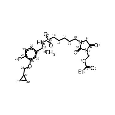 CCC(=O)OCN1C(=O)CN(CCCCCS(=O)(=O)N[C@H](C)c2ccc(F)c(OCC3CC3)c2)C1=O